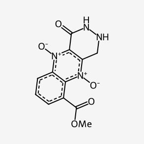 COC(=O)c1cccc2c1[n+]([O-])c1c([n+]2[O-])C(=O)NNC1